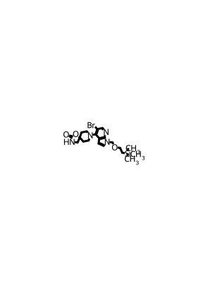 C[Si](C)(C)CCOCn1ccc2c(N3CCC4(CC3)CNC(=O)O4)c(Br)cnc21